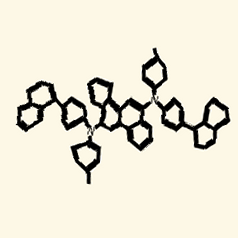 Cc1ccc(N(c2ccc(-c3cccc4ccccc34)cc2)c2cc3c4ccccc4c(N(c4ccc(C)cc4)c4ccc(-c5cccc6ccccc56)cc4)cc3c3ccccc23)cc1